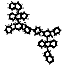 c1ccc2cc(-c3c4ccccc4c(-c4c5oc6ccccc6c5cc5c4oc4cc(-c6ccc7c(c6)oc6c(-c8c9ccccc9c(-c9cccc%10ccccc9%10)c9ccccc89)c8oc9ccccc9c8cc67)ccc45)c4ccccc34)ccc2c1